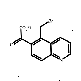 CCOC(=O)C(=O)c1ccc2ncccc2c1CBr